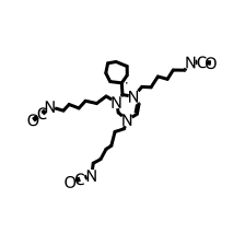 O=C=NCCCCCCN1C=CN(CCCCCCN=C=O)C([C]2CCCCCC2)N(CCCCCCN=C=O)C1